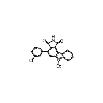 CCn1c2ccccc2c2c3c(c(-c4cccc(Cl)c4)cc21)C(=O)NC3=O